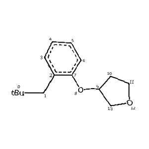 CC(C)(C)Cc1ccccc1OC1CCOC1